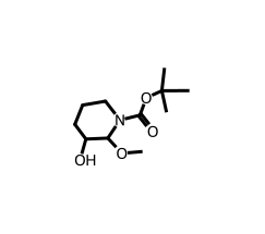 COC1C(O)CCCN1C(=O)OC(C)(C)C